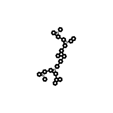 c1ccc(-n2c3ccccc3c3ccc(-c4ccc5c(c4)c4cc(-c6ccc7c8ccccc8c8c(-c9ccc(-c%10ccc(-n%11c%12ccc(-c%13ccc%14c%15ccccc%15n(-c%15ccccc%15)c%14c%13)cc%12c%12cc(-c%13cc%14ccccc%14c%14ccccc%13%14)ccc%12%11)cc%10)cc9)cccc8c7c6)ccc4n5-c4ccc5ccccc5c4)cc32)cc1